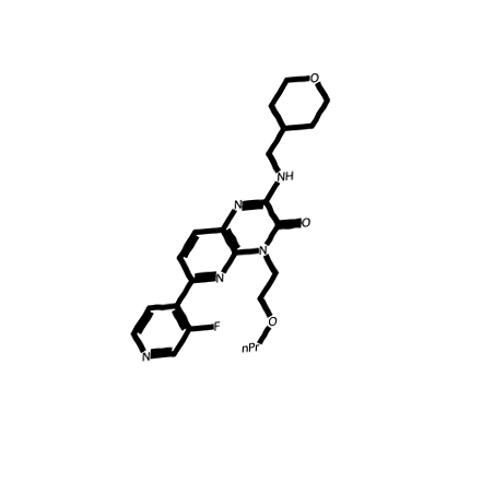 CCCOCCn1c(=O)c(NCC2CCOCC2)nc2ccc(-c3ccncc3F)nc21